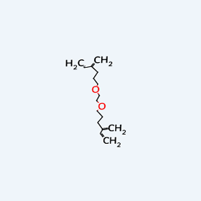 C=CC(=C)CCCOCCOCCCC(=C)C=C